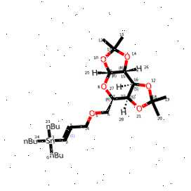 CCC[CH2][Sn](/[CH]=C/COC[C@H]1O[C@@H]2OC(C)(C)O[C@@H]2[C@H]2OC(C)(C)O[C@H]21)([CH2]CCC)[CH2]CCC